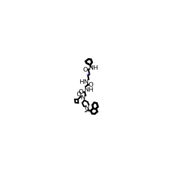 C[C@H](c1cccc2ccccc12)N1CCC(N(CC(=O)NCC(=O)NC/C=C/C(=O)Nc2ccccc2)C(=O)C2CCC2)CC1